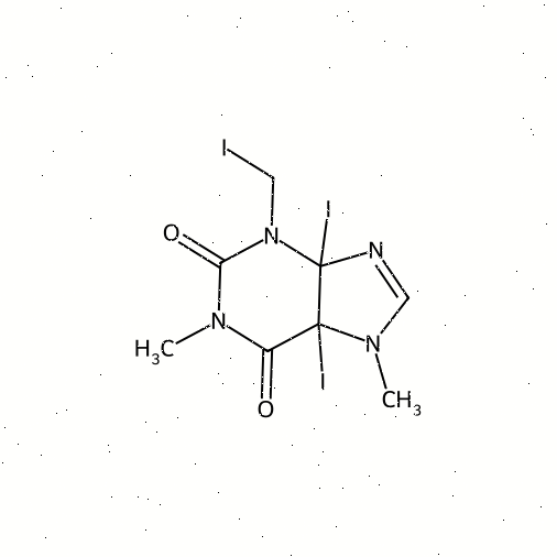 CN1C(=O)N(CI)C2(I)N=CN(C)C2(I)C1=O